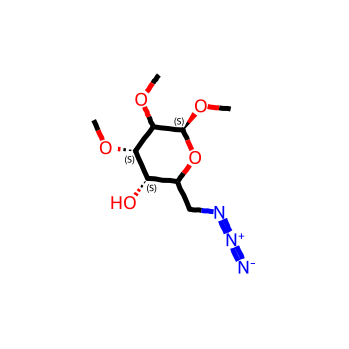 COC1[C@@H](OC)OC(CN=[N+]=[N-])[C@H](O)[C@@H]1OC